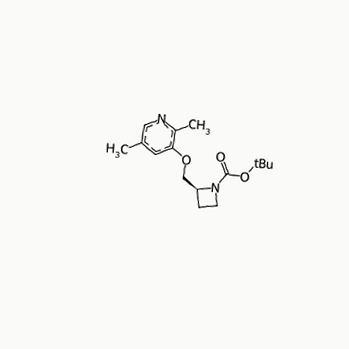 Cc1cnc(C)c(OC[C@@H]2CCN2C(=O)OC(C)(C)C)c1